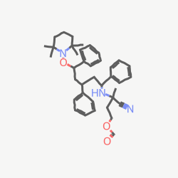 CC(C#N)(CCOC=O)NC(CC(CC(ON1C(C)(C)CCCC1(C)C)c1ccccc1)c1ccccc1)c1ccccc1